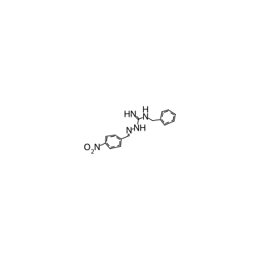 N=C(NCc1ccccc1)NN=Cc1ccc([N+](=O)[O-])cc1